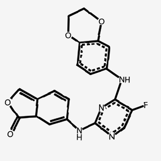 O=C1OC=C2C=CC(Nc3ncc(F)c(Nc4ccc5c(c4)OCCO5)n3)=CC12